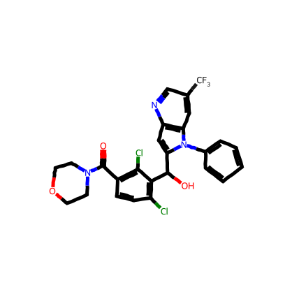 O=C(c1ccc(Cl)c(C(O)c2cc3ncc(C(F)(F)F)cc3n2-c2ccccc2)c1Cl)N1CCOCC1